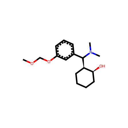 COCOc1cccc(C([C@@H]2CCCC[C@@H]2O)N(C)C)c1